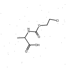 CC(NC(=O)OCCCl)C(=O)O